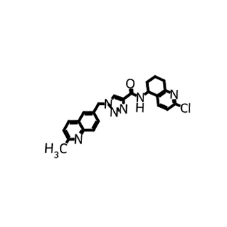 Cc1ccc2cc(Cn3cc(C(=O)NC4CCCc5nc(Cl)ccc54)nn3)ccc2n1